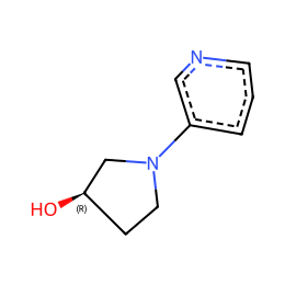 O[C@@H]1CCN(c2cccnc2)C1